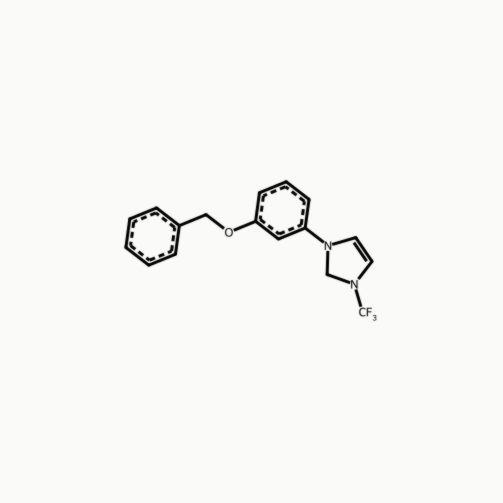 FC(F)(F)N1C=CN(c2cccc(OCc3ccccc3)c2)C1